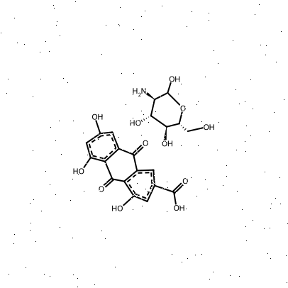 N[C@H]1C(O)O[C@H](CO)[C@@H](O)[C@@H]1O.O=C(O)c1cc(O)c2c(c1)C(=O)c1cc(O)cc(O)c1C2=O